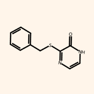 O=c1[nH]ccnc1SCc1ccccc1